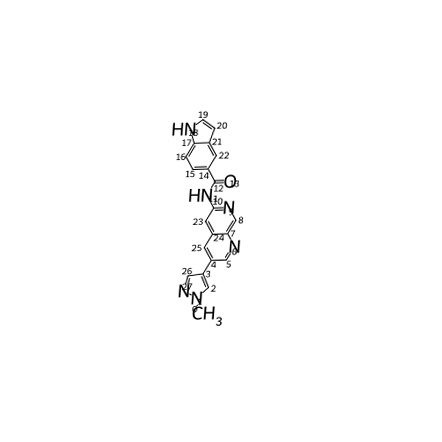 Cn1cc(-c2cnc3cnc(NC(=O)c4ccc5[nH]ccc5c4)cc3c2)cn1